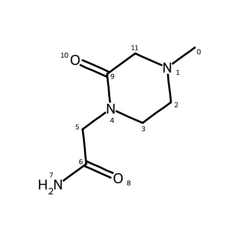 CN1CCN(CC(N)=O)C(=O)C1